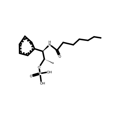 CCCCCCC(=O)N[C@H](c1ccccc1)[C@H](C)OP(=O)(O)O